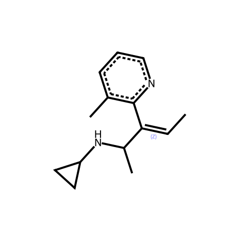 C/C=C(\c1ncccc1C)C(C)NC1CC1